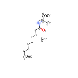 CCCCCCCCCCCCCCCCCC(=O)N[C@@H](C(=O)[O-])C(C)C.[Na+]